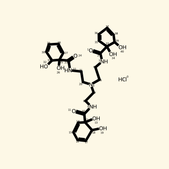 Cl.O=C(NCCN(CCNC(=O)C1(O)C=CC=CC1O)CCNC(=O)C1(O)C=CC=CC1O)C1(O)C=CC=CC1O